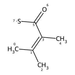 CC(C)=C(C)C(=O)[S]